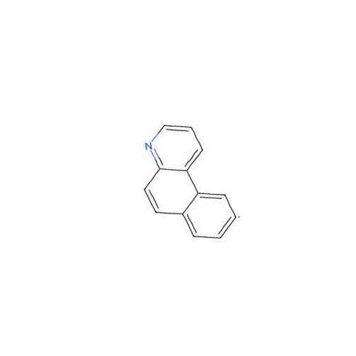 [c]1ccc2ccc3ncccc3c2c1